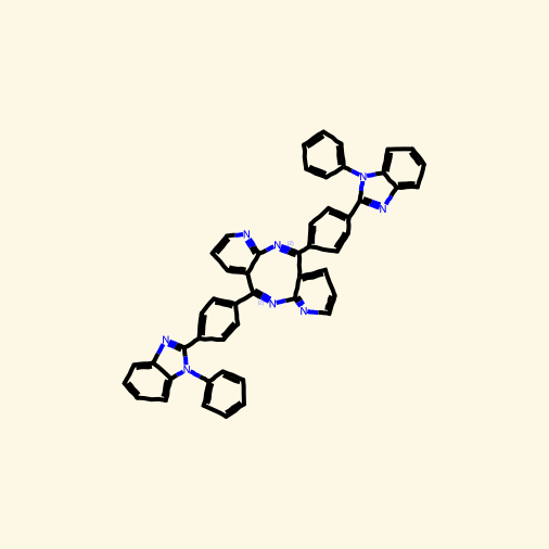 c1ccc(-n2c(-c3ccc(/C4=N/c5ncccc5/C(c5ccc(-c6nc7ccccc7n6-c6ccccc6)cc5)=N\c5ncccc54)cc3)nc3ccccc32)cc1